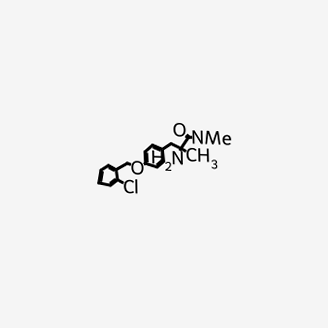 CNC(=O)C(C)(N)Cc1ccc(OCc2ccccc2Cl)cc1